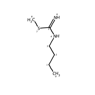 CCCCNC(=N)SC